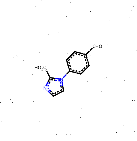 O=Cc1ccc(-n2ccnc2C(=O)O)cc1